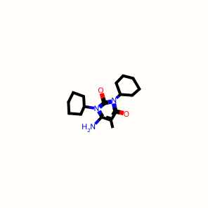 Cc1c(N)n(C2CCCCC2)c(=O)n(C2CCCCC2)c1=O